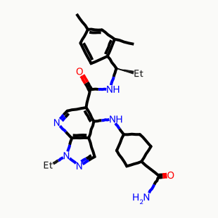 CC[C@@H](NC(=O)c1cnc2c(cnn2CC)c1NC1CCC(C(N)=O)CC1)c1ccc(C)cc1C